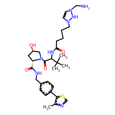 Cc1ncsc1-c1ccc(CNC(=O)[C@@H]2C[C@@H](O)CN2C(=O)C(NC(=O)CCCCN2C=CN(CN)N2)C(C)(C)C)cc1